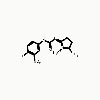 CC1CC/C(=N/C(=O)Nc2ccc(F)c([N+](=O)[O-])c2)N1C